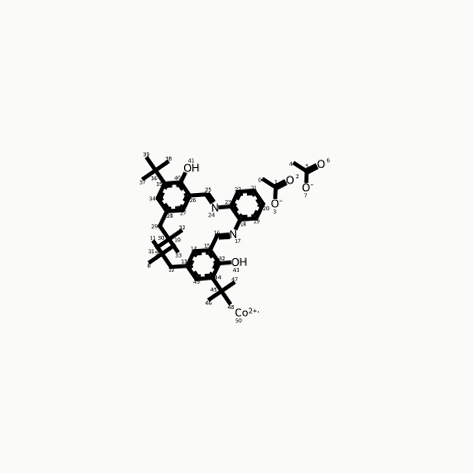 CC(=O)[O-].CC(=O)[O-].CC(C)(C)Cc1cc(C=Nc2ccccc2N=Cc2cc(CC(C)(C)C)cc(C(C)(C)C)c2O)c(O)c(C(C)(C)C)c1.[Co+2]